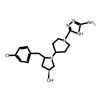 Nc1nnc(N2CCC(N3C[C@@H](O)CC3Cc3ccc(Cl)cc3)CC2)[nH]1